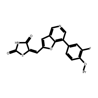 CC(C)Oc1ccc(-c2cncc3cc(/C=C4/SC(=O)NC4=O)oc23)cc1F